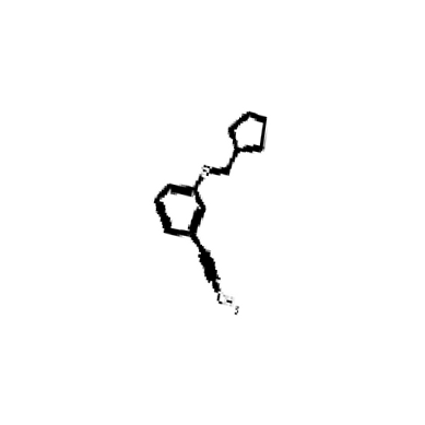 CC#Cc1cccc(SCC2CCCC2)c1